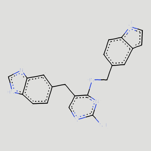 Nc1ncc(Cc2ccc3[nH]cnc3c2)c(NCc2ccc3[nH]ccc3c2)n1